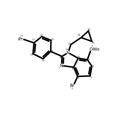 COc1ccc(Br)c2nc(-c3ccc(C(C)C)cc3)n(CC3CC3)c12